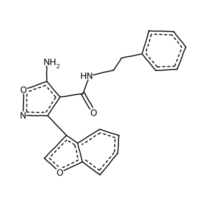 Nc1onc(-c2coc3ccccc23)c1C(=O)NCCc1ccccc1